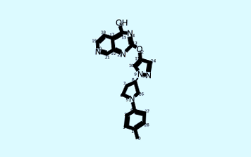 Cc1ccc(N2CC[C@H](n3cc(Oc4nc(O)c5ccncc5n4)cn3)C2)cc1